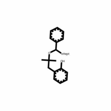 CCCCCCCC(OC(C)(C)Cc1ccccc1O)c1ccccc1